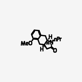 CCCN1C(=O)C[C@H]2Cc3c(cccc3OC)C[C@H]21